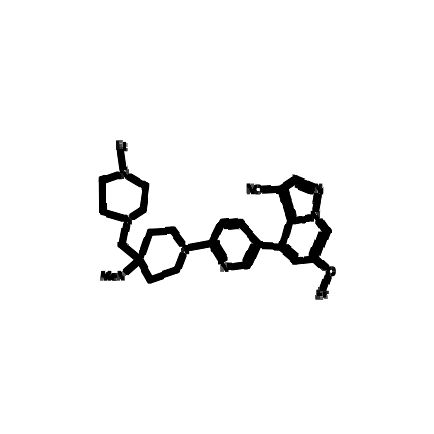 CCOc1cc(-c2ccc(N3CCC(CN4CCN(CC)CC4)(NC)CC3)nc2)c2c(C#N)cnn2c1